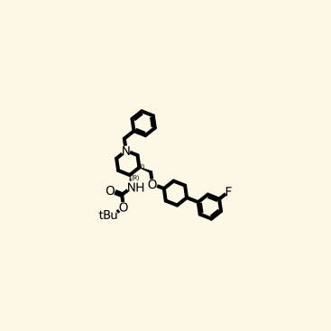 CC(C)(C)OC(=O)N[C@@H]1CCN(Cc2ccccc2)C[C@H]1COC1CCC(c2cccc(F)c2)CC1